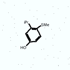 CSc1ccc(O)cc1C(C)C